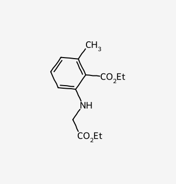 CCOC(=O)CNc1cccc(C)c1C(=O)OCC